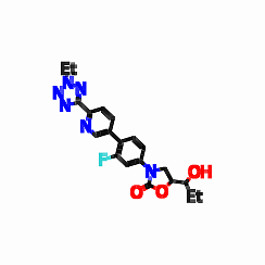 CCC(O)C1CN(c2ccc(-c3ccc(-c4nnn(CC)n4)nc3)c(F)c2)C(=O)O1